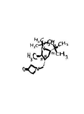 C[C@@H]1[C@@H](CN2CC(=O)C2)C[C@@H](C(C)(C)C)N1C(C)(C)C